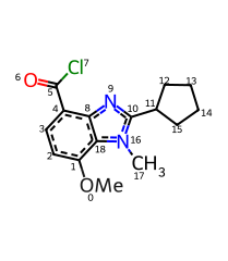 COc1ccc(C(=O)Cl)c2nc(C3CCCC3)n(C)c12